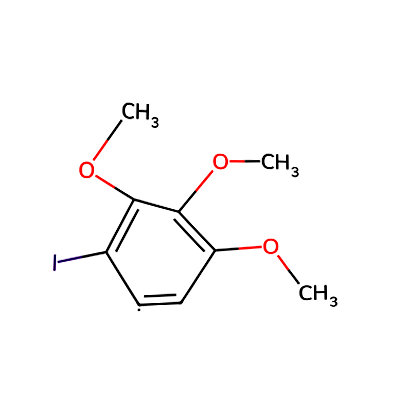 COc1c[c]c(I)c(OC)c1OC